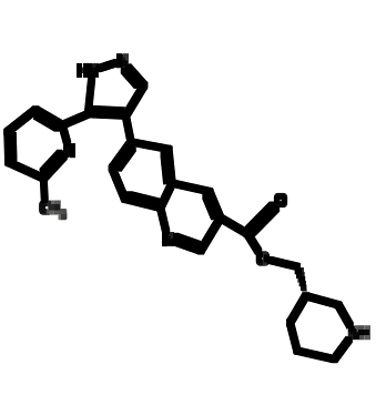 Cc1cccc(-c2[nH]ncc2-c2ccc3ncc(C(=O)OC[C@H]4CCCNC4)cc3c2)n1